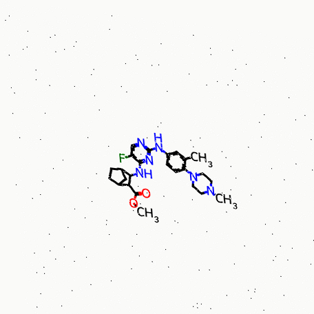 COC(=O)C1C2CCC(C2)C1Nc1nc(Nc2ccc(N3CCN(C)CC3)c(C)c2)ncc1F